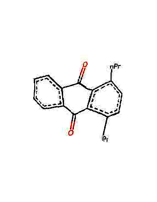 CCCc1ccc(C(C)C)c2c1C(=O)c1ccccc1C2=O